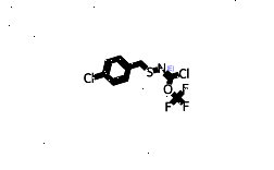 FC(F)(F)O/C(Cl)=N\SCc1ccc(Cl)cc1